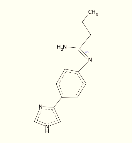 CCC/C(N)=N/c1ccc(-c2c[nH]cn2)cc1